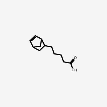 O=C(O)CCCCC1CC2C=CC1C2